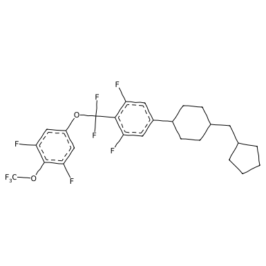 Fc1cc(OC(F)(F)c2c(F)cc(C3CCC(CC4CCCC4)CC3)cc2F)cc(F)c1OC(F)(F)F